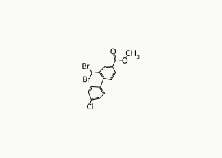 COC(=O)c1ccc(-c2ccc(Cl)cc2)c(C(Br)Br)c1